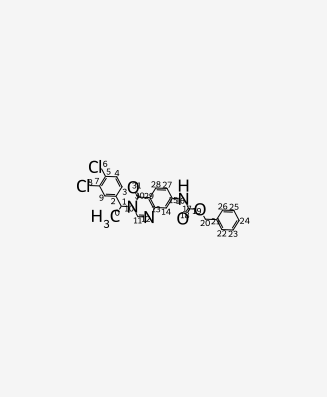 CC(c1ccc(Cl)c(Cl)c1)n1cnc2cc(NC(=O)OCc3ccccc3)ccc2c1=O